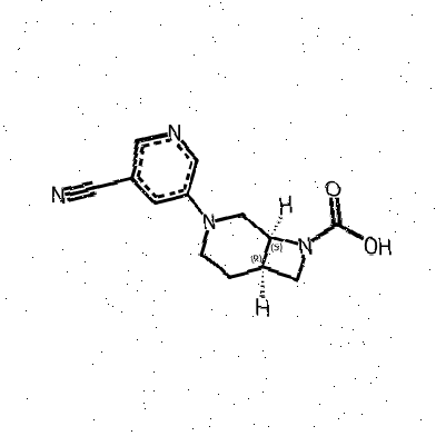 N#Cc1cncc(N2CC[C@@H]3CN(C(=O)O)[C@@H]3C2)c1